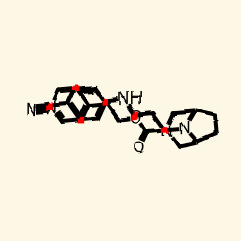 N#Cc1ccc(NCCCN2C3CCC2CN(C(=O)OCCc2ccncc2)C3)cc1